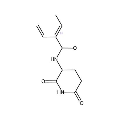 C=C/C(=C\C)C(=O)NC1CCC(=O)NC1=O